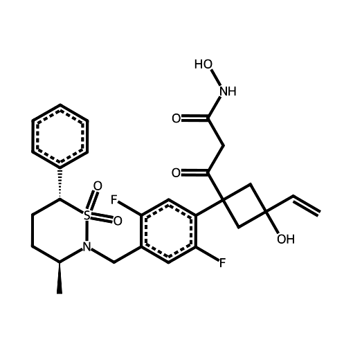 C=CC1(O)CC(C(=O)CC(=O)NO)(c2cc(F)c(CN3[C@@H](C)CC[C@H](c4ccccc4)S3(=O)=O)cc2F)C1